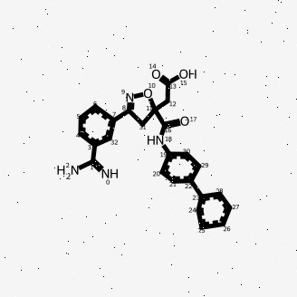 N=C(N)c1cccc(C2=NOC(CC(=O)O)(C(=O)Nc3ccc(-c4ccccc4)cc3)C2)c1